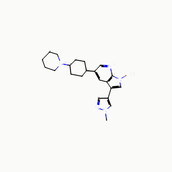 Cn1cc(-c2cn(S)c3ncc(C4CCC(N5CCCCC5)CC4)cc23)cn1